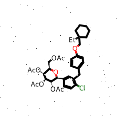 CCC1(COc2ccc(Cc3cc([C@@H]4O[C@H](COC(C)=O)[C@@H](OC(C)=O)[C@H](OC(C)=O)[C@H]4OC(C)=O)ccc3Cl)cc2)CCCCC1